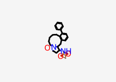 CS(=O)(=O)NC1CCN2C(=O)CCCCc3c(cccc3-c3ccccc3)CC12